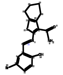 NC(=O)c1c(/N=C/c2cc(Br)ccc2O)sc2c1CCCC2